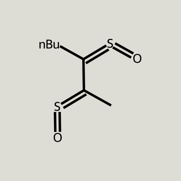 CCCCC(=S=O)C(C)=S=O